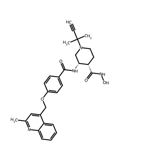 C#CC(C)(C)N1CC[C@H](C(=O)NO)[C@H](NC(=O)c2ccc(OCc3cc(C)nc4ccccc34)cc2)C1